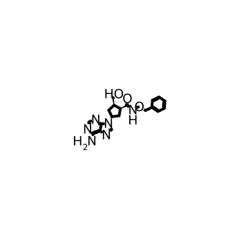 Nc1ncnc2c1ncn2[C@@H]1C[C@@H](CO)[C@@H](C(=O)NOCc2ccccc2)C1